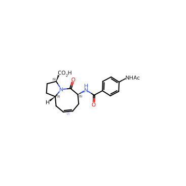 CC(=O)Nc1ccc(C(=O)N[C@H]2C/C=C\C[C@@H]3CC[C@@H](C(=O)O)N3C2=O)cc1